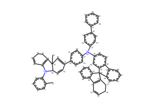 Cc1ccccc1N1C2=C(CCC=C2)C2(C)C=C(c3ccc(N(c4ccc(-c5ccccc5)cc4)c4ccc5c(c4)C4(C6=C(C=CCC6)c6ccccc64)c4ccccc4-5)cc3)C=CC12